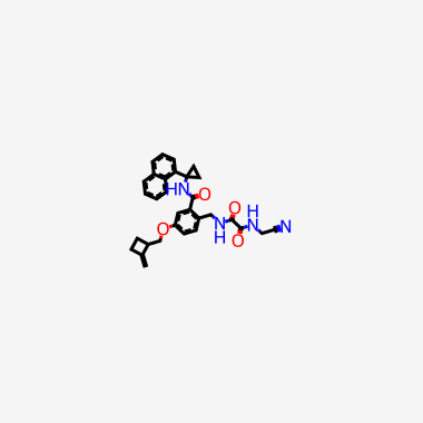 C=C1CCC1COc1ccc(CNC(=O)C(=O)NCC#N)c(C(=O)NC2(c3cccc4ccccc34)CC2)c1